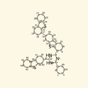 c1ccc(C2=NC(c3cccc4c3sc3cc(-c5cccc6c5sc5ccccc56)ccc34)NC(c3ccc4c(c3)sc3ccccc34)N2)cc1